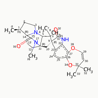 C[C@H]1CCN2C3C(C)(C)[C@@]4(C[C@]35CC[C@]12C(=O)N5C)C(=O)Nc1c4ccc2c1OC=CC(C)(C)O2